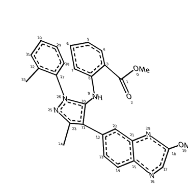 COC(=O)c1ccccc1Nc1c(-c2ccc3ncc(OC)nc3c2)c(C)nn1-c1ccccc1C